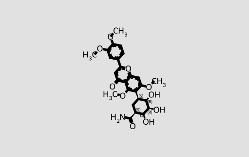 COc1ccc(-c2cc(=O)c3c(OC)c([C@@H]4C[C@H](C(N)=O)[C@H](O)[C@H](O)[C@@H]4O)c(OC)cc3o2)cc1OC